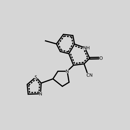 Cc1ccc2[nH]c(=O)c(C#N)c(N3CCC(c4nccs4)C3)c2c1